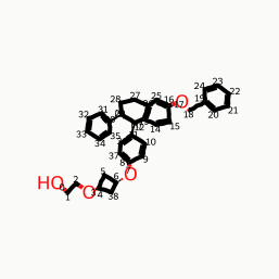 OCCO[C@H]1C[C@H](Oc2ccc([C@@H]3c4ccc(OCc5ccccc5)cc4CC[C@@H]3c3ccccc3)cc2)C1